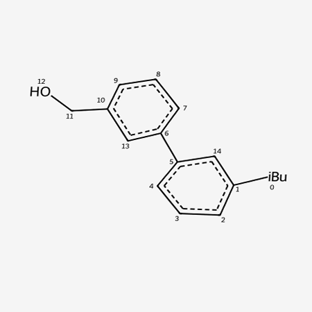 CCC(C)c1cccc(-c2cccc(CO)c2)c1